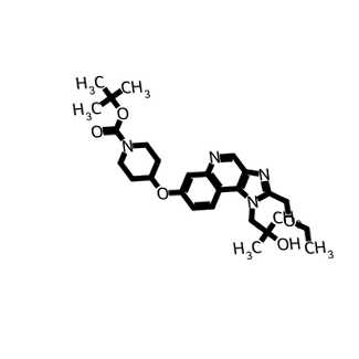 CCOCc1nc2cnc3cc(OC4CCN(C(=O)OC(C)(C)C)CC4)ccc3c2n1CC(C)(C)O